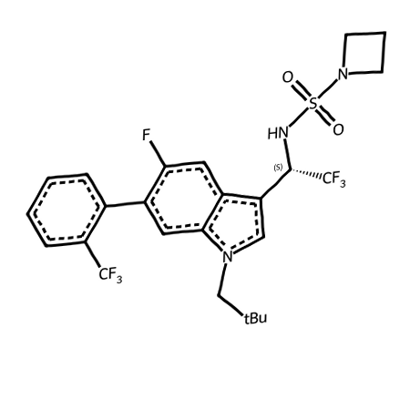 CC(C)(C)Cn1cc([C@H](NS(=O)(=O)N2CCC2)C(F)(F)F)c2cc(F)c(-c3ccccc3C(F)(F)F)cc21